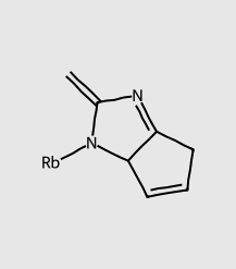 C=C1N=C2CC=CC2[N]1[Rb]